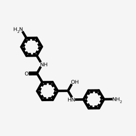 Nc1ccc(NC(=O)c2cccc(C(O)Nc3ccc(N)cc3)c2)cc1